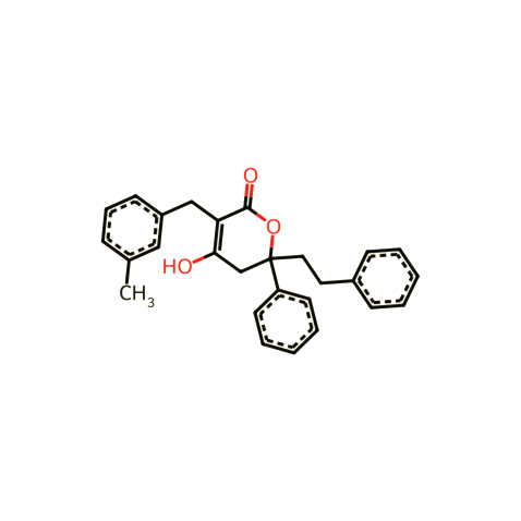 Cc1cccc(CC2=C(O)CC(CCc3ccccc3)(c3ccccc3)OC2=O)c1